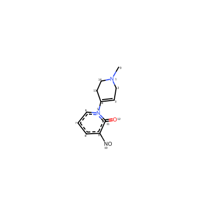 CN1CC=C(n2cccc(N=O)c2=O)CC1